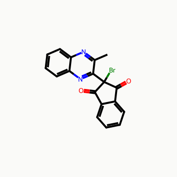 Cc1nc2ccccc2nc1C1(Br)C(=O)c2ccccc2C1=O